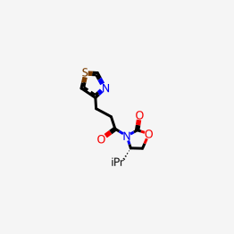 CC(C)[C@H]1COC(=O)N1C(=O)CCc1cscn1